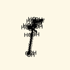 CCCC[C@@H](CCC[C@H](O)[C@H](O)CCCCCCCCCCCCCC[C@@H](O)C(=O)O)O[C@H]1OC[C@H](O)[C@@H](O)[C@@H]1O[C@H]1OC[C@H](O)[C@@H](O)[C@@H]1O[C@H]1O[C@@H](COC(=O)CC(C)C)[C@H](O)[C@@H](O)[C@@H]1O